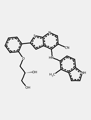 Cc1c(Nc2c(C#N)cnc3sc(-c4ccccc4OC[C@H](O)CO)cc23)ccc2[nH]ccc12